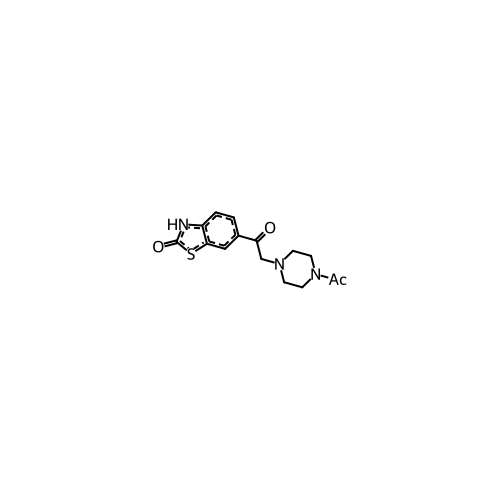 CC(=O)N1CCN(CC(=O)c2ccc3[nH]c(=O)sc3c2)CC1